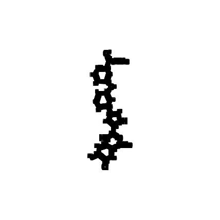 CNC(=O)c1cc(Oc2cccc(-c3c[nH]c(C(=O)Nc4cc(C)c(Cl)cc4OC)c3)c2)ccn1